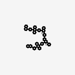 c1cc(-c2ccc3ccccc3c2)cc(-c2c3ccccc3c(-c3ccc(-c4c5ccc(-c6ccc7c(c6)oc6c(-c8ccc(-c9c%10ccccc%10c(-c%10ccc(-c%11cccc%12ccccc%11%12)cc%10)c%10ccccc9%10)cc8)c8ccccc8cc67)cc5cc5c4oc4ccccc45)cc3)c3ccccc23)c1